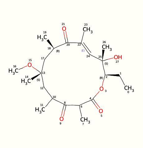 CC[C@H]1OC(=O)C(C)C(=O)C(C)C[C@](C)(OC)C[C@@H](C)C(=O)/C(C)=C/[C@]1(C)O